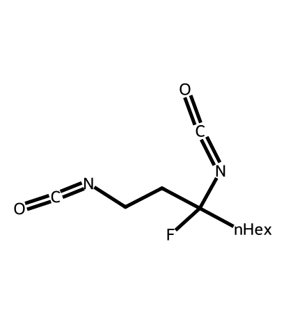 CCCCCCC(F)(CCN=C=O)N=C=O